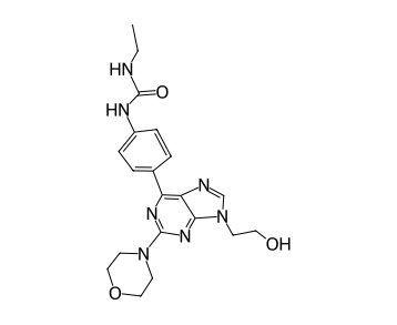 CCNC(=O)Nc1ccc(-c2nc(N3CCOCC3)nc3c2ncn3CCO)cc1